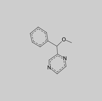 COC(c1ccccc1)c1cnccn1